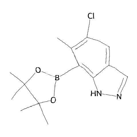 Cc1c(Cl)cc2cn[nH]c2c1B1OC(C)(C)C(C)(C)O1